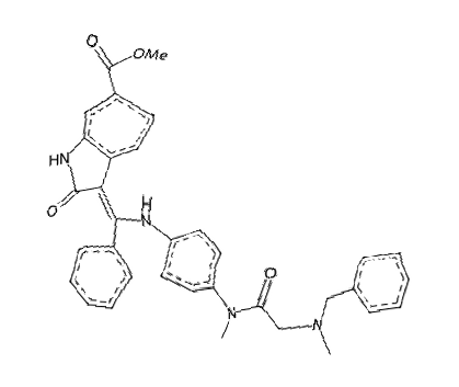 COC(=O)c1ccc2c(c1)NC(=O)C2=C(Nc1ccc(N(C)C(=O)CN(C)Cc2ccccc2)cc1)c1ccccc1